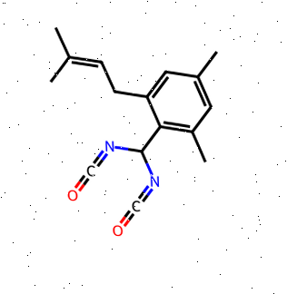 CC(C)=CCc1cc(C)cc(C)c1C(N=C=O)N=C=O